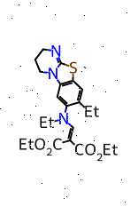 CCOC(=O)C(=CN(CC)c1cc2c(cc1CC)SC1=NCCCN12)C(=O)OCC